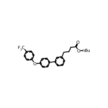 CCCCOC(=O)CCCc1cccc(-c2ccc(Oc3ccc(C(F)(F)F)cc3)cc2)c1